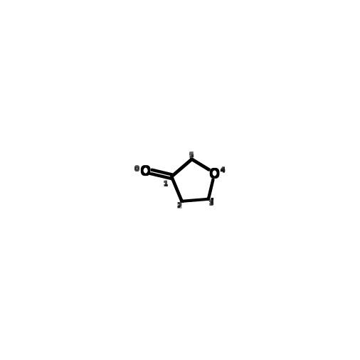 O=C1C[CH]OC1